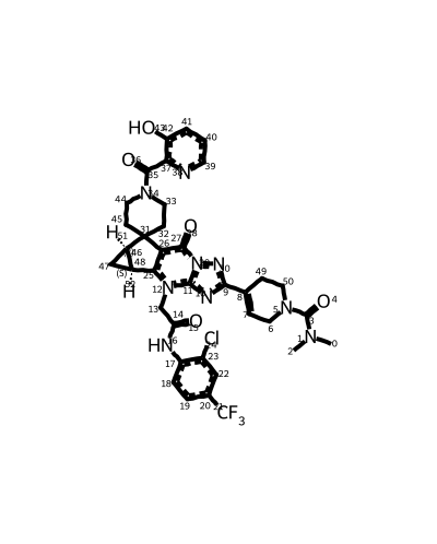 CN(C)C(=O)N1CC=C(c2nc3n(CC(=O)Nc4ccc(C(F)(F)F)cc4Cl)c4c(c(=O)n3n2)C2(CCN(C(=O)c3ncccc3O)CC2)[C@@H]2C[C@H]42)CC1